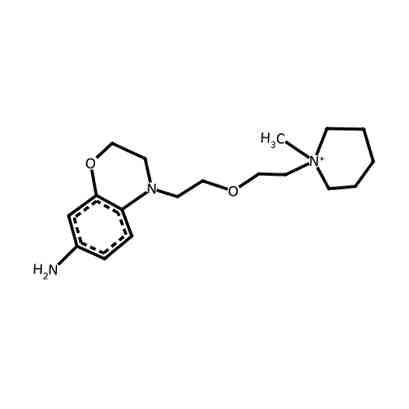 C[N+]1(CCOCCN2CCOc3cc(N)ccc32)CCCCC1